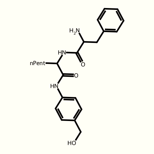 CCCCCC(NC(=O)C(N)Cc1ccccc1)C(=O)Nc1ccc(CO)cc1